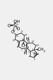 C[C@@]12C=CC[C@H]1[C@@H]1CC=C3CC(OS(=O)(=O)O)CC[C@]3(C)[C@H]1CC2